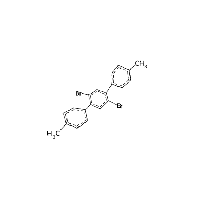 Cc1ccc(-c2cc(Br)c(-c3ccc(C)cc3)cc2Br)cc1